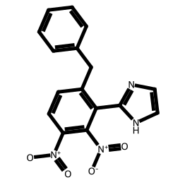 O=[N+]([O-])c1ccc(Cc2ccccc2)c(-c2ncc[nH]2)c1[N+](=O)[O-]